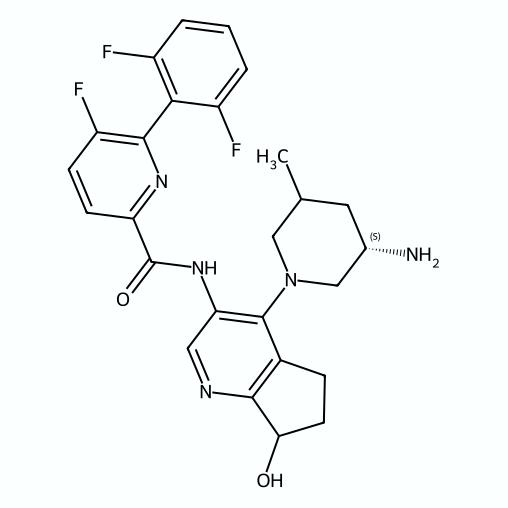 CC1C[C@H](N)CN(c2c(NC(=O)c3ccc(F)c(-c4c(F)cccc4F)n3)cnc3c2CCC3O)C1